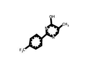 Cc1cnc(-c2ccc(C(F)(F)F)cc2)nc1O